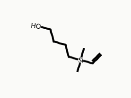 C=C[Si](C)(C)CCCCO